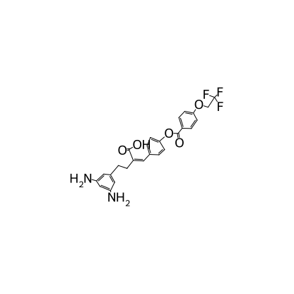 Nc1cc(N)cc(CCC(=Cc2ccc(OC(=O)c3ccc(OCC(F)(F)F)cc3)cc2)C(=O)O)c1